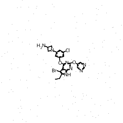 CCc1[nH]c2nc(Oc3cncnc3)nc(Oc3cc(Cl)cc(N4CC(N)C4)c3)c2c1Br